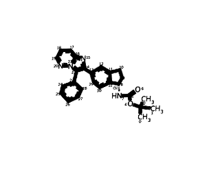 CC(C)(C)OC(=O)N[C@H]1CCc2cc(-c3nc4cccnn4c3-c3ccccc3)ccc21